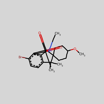 COC1CCC2(CC1)C(C)(C)c1ccc(Br)cc1C21NC(=O)N(C)C1=O